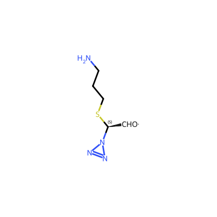 NCCCS[C@@H]([C]=O)N1N=N1